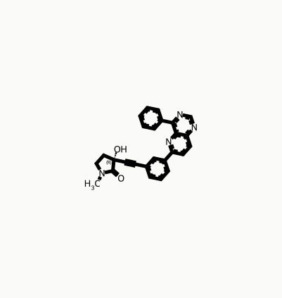 CN1CC[C@@](O)(C#Cc2cccc(-c3ccc4ncnc(-c5ccccc5)c4n3)c2)C1=O